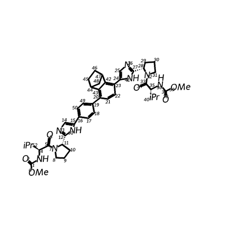 COC(=O)N[C@H](C(=O)N1CCC[C@H]1c1ncc(-c2ccc(-c3ccc(-c4cnc([C@@H]5CCCN5C(=O)[C@H](NC(=O)OC)C(C)C)[nH]4)c4c3C3CCC4C3)cc2)[nH]1)C(C)C